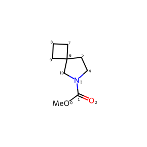 COC(=O)N1CCC2(CCC2)C1